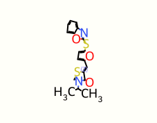 CC(C)N1CS/C(=C\c2ccc(Sc3nc4ccccc4o3)o2)C1=O